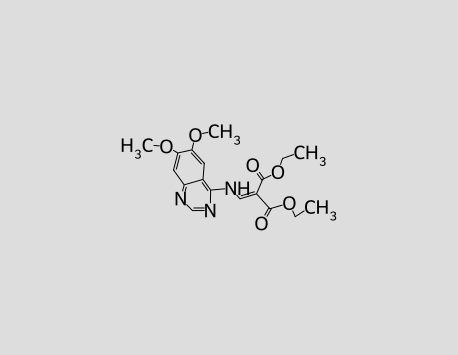 CCOC(=O)C(=CNc1ncnc2cc(OC)c(OC)cc12)C(=O)OCC